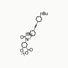 CCCCc1ccc(C#Cc2ccc(CN(C(=O)C(C)(C)C)c3ccc4c(c3)C(=O)OC(C)(C)O4)cc2)cc1